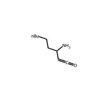 CCCCCCC(N)C=C=O